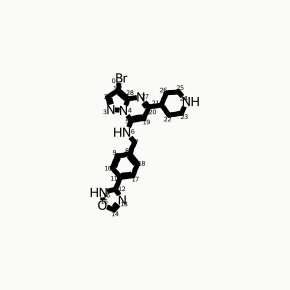 Brc1cnn2c(NCc3ccc(C4N=CON4)cc3)cc(C3CCNCC3)nc12